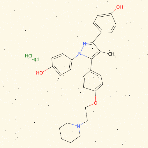 Cc1c(-c2ccc(O)cc2)nn(-c2ccc(O)cc2)c1-c1ccc(OCCN2CCCCC2)cc1.Cl.Cl